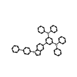 c1ccc(-c2ccc(-n3ccc4cc(-c5cc(N(c6ccccc6)c6ccccc6)cc(N(c6ccccc6)c6ccccc6)c5)ccc43)cc2)cc1